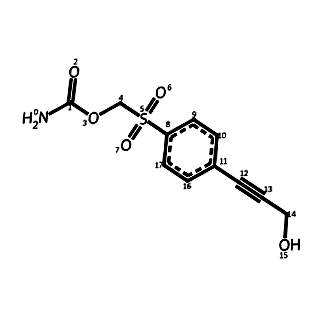 NC(=O)OCS(=O)(=O)c1ccc(C#CCO)cc1